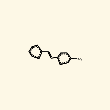 O=[N+]([O-])c1ccc(/C=C/c2cc[c]cc2)cc1